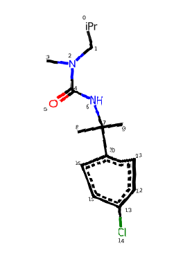 CC(C)CN(C)C(=O)NC(C)(C)c1ccc(Cl)cc1